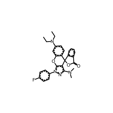 CCN(CC)c1ccc2c(c1)Oc1c(c(N(C)C)nn1-c1ccc(F)cc1)C21OC(=O)c2ccccc21